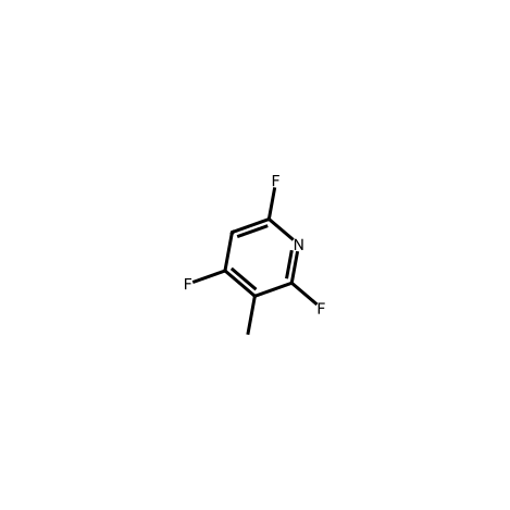 Cc1c(F)cc(F)nc1F